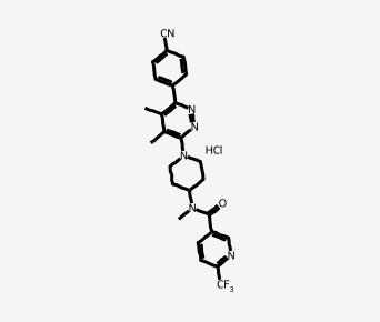 Cc1c(-c2ccc(C#N)cc2)nnc(N2CCC(N(C)C(=O)c3ccc(C(F)(F)F)nc3)CC2)c1C.Cl